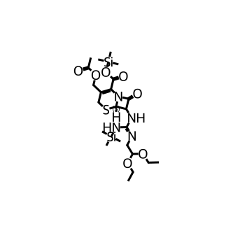 CCOC(CN=C(NC1C(=O)N2C(C(=O)O[Si](C)(C)C)=C(COC(C)=O)CS[C@@H]12)N[Si](C)(C)C)OCC